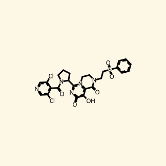 O=C1c2c(O)c(=O)nc(C3CCCN3C(=O)c3c(Cl)cncc3Cl)n2CCN1CCS(=O)(=O)c1ccccc1